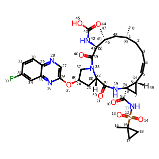 C[C@@H]1CCC=C[C@@H]2C[C@@]2(C(=O)NS(=O)(=O)C2(C)CC2)NC(=O)[C@@H]2C[C@@H](Oc3cnc4ccc(F)cc4n3)CN2C(=O)[C@@H](NC(=O)O)[C@H](C)C1